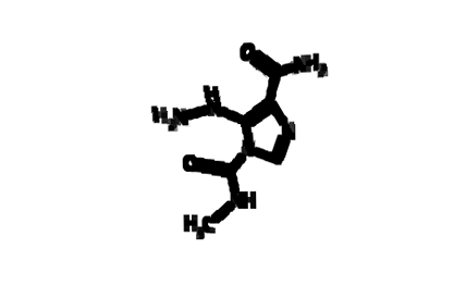 CNC(=O)n1cnc(C(N)=O)c1NN